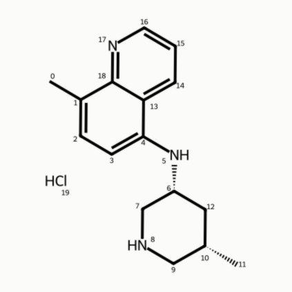 Cc1ccc(N[C@H]2CNC[C@@H](C)C2)c2cccnc12.Cl